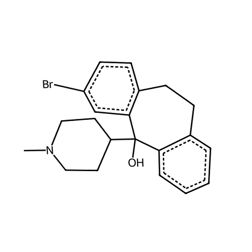 CN1CCC(C2(O)c3ccccc3CCc3ccc(Br)cc32)CC1